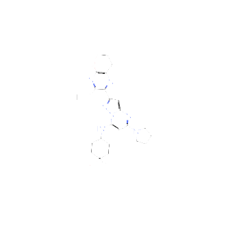 Cc1nc2c(nc1-c1cc3nc(N4CCCC4)cc(NC4CCC(C)(O)CC4)n3n1)CCCO2